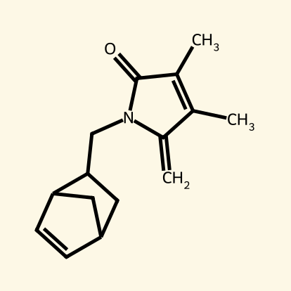 C=C1C(C)=C(C)C(=O)N1CC1CC2C=CC1C2